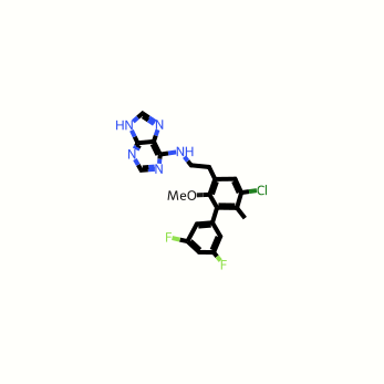 COc1c(CCNc2ncnc3[nH]cnc23)cc(Cl)c(C)c1-c1cc(F)cc(F)c1